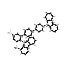 N#Cc1ccc(-n2c3ccccc3c3cccc(C#N)c32)c(-c2ccc(-c3ccc(-n4c5ccccc5c5ccccc54)cc3)cc2)c1